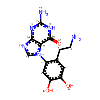 NCCc1cc(O)c(O)cc1-n1cnc2nc(N)[nH]c(=O)c21